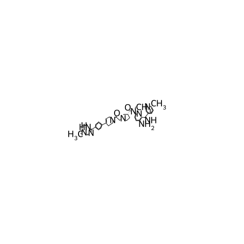 CCN(C(=O)[C@@H]1CCN(CC(=O)N2CC=C(c3ccc(C(=N)/N=C\NC)cc3)CC2)C1)c1ccc(N)c(C(=N)c2ccc(C)nc2)n1